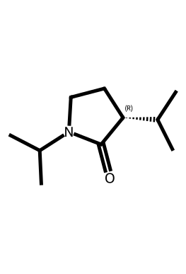 CC(C)[C@H]1CCN(C(C)C)C1=O